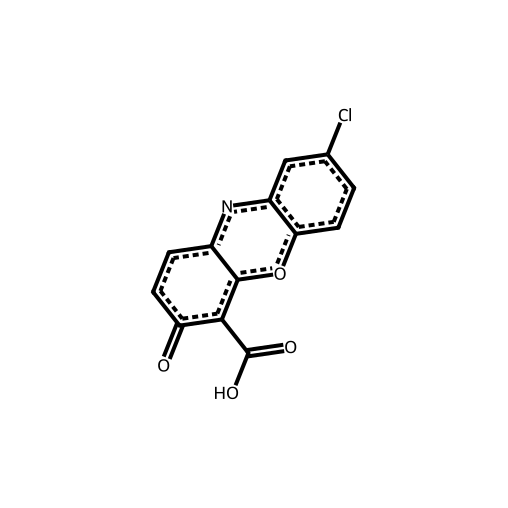 O=C(O)c1c2oc3ccc(Cl)cc3nc-2ccc1=O